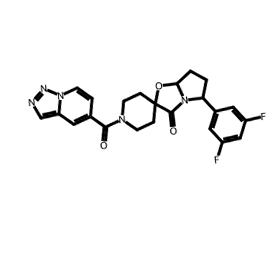 O=C(c1ccn2nncc2c1)N1CCC2(CC1)OC1CCC(c3cc(F)cc(F)c3)N1C2=O